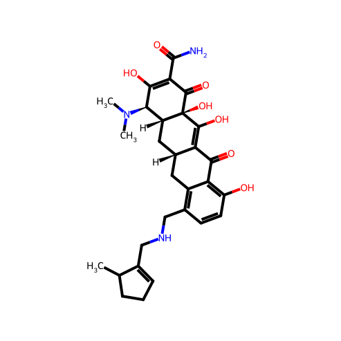 CC1CCC=C1CNCc1ccc(O)c2c1C[C@@H]1C[C@@H]3[C@@H](N(C)C)C(O)=C(C(N)=O)C(=O)[C@]3(O)C(O)=C1C2=O